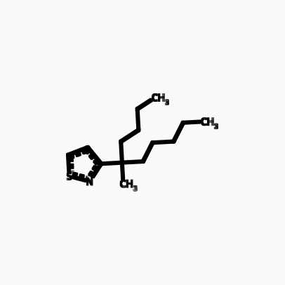 CCCCCC(C)(CCCC)c1ccsn1